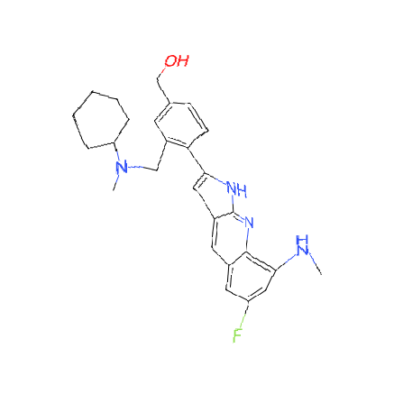 CNc1cc(F)cc2cc3cc(-c4ccc(CO)cc4CN(C)C4CCCCC4)[nH]c3nc12